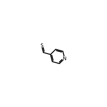 S=Cc1ccncc1